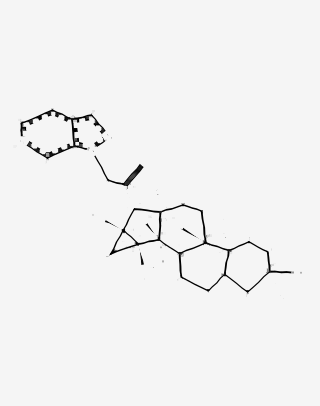 C[C@@]1(O)CC[C@H]2C(CC[C@@H]3[C@@H]2CC[C@@]2(C)[C@H]3[C@@H]3C[C@@H]3[C@@H]2C(=O)Cn2ncc3ccncc32)C1